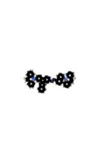 CC1(C)c2ccccc2N(c2ccc3c(c2)C2(Cc4ccccc4C2)c2cc(/C=C/c4cccc5c(N6c7ccccc7C(C)(C)C7C=CC=CC76)cccc45)ccc2-3)c2ccccc21